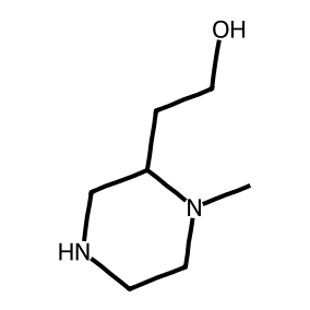 CN1CCNCC1CCO